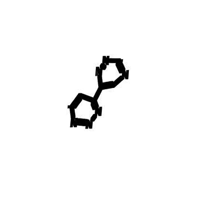 [c]1cc(-c2cn[c]nn2)nnn1